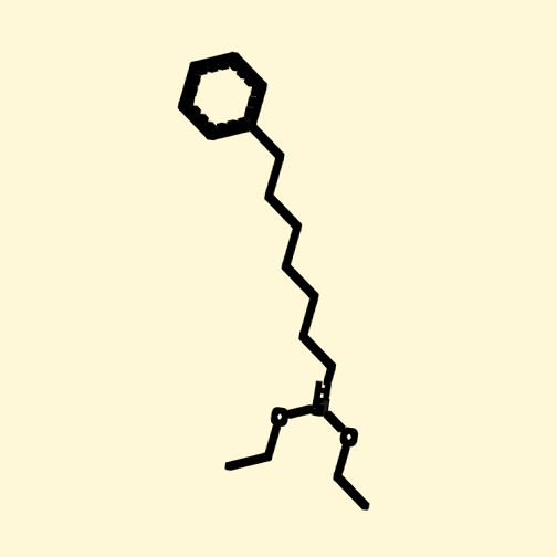 CCO[SiH](CCCCCCCc1ccccc1)OCC